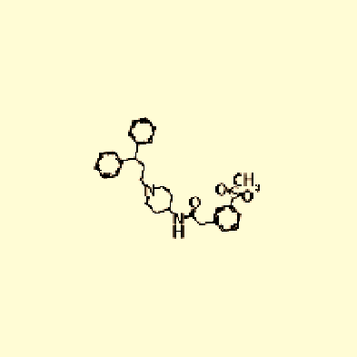 CS(=O)(=O)c1cccc(CC(=O)NC2CCN(CCC(c3ccccc3)c3ccccc3)CC2)c1